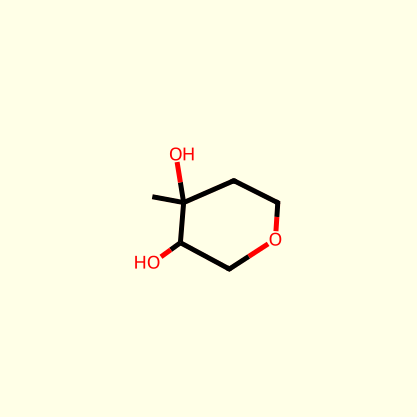 CC1(O)CCOCC1O